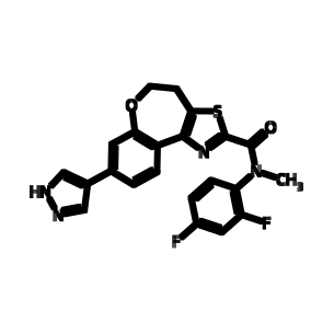 CN(C(=O)c1nc2c(s1)CCOc1cc(-c3cn[nH]c3)ccc1-2)c1ccc(F)cc1F